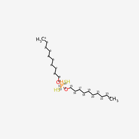 CCCCCCCCCCO[PH](S)(S)OCCCCCCCCCC